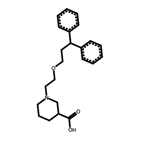 O=C(O)C1CCCN(CCOCCC(c2ccccc2)c2ccccc2)C1